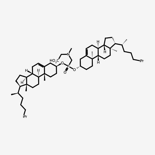 CC(C)CCC[C@@H](C)[C@H]1CC[C@H]2[C@@H]3CC=C4C[C@@H](OP(=O)(CN(C)CC(=O)O)O[C@H]5CC[C@@]6(C)C(=CC[C@H]7[C@@H]8CC[C@H]([C@H](C)CCCC(C)C)[C@@]8(C)CC[C@@H]76)C5)CC[C@]4(C)[C@H]3CC[C@]12C